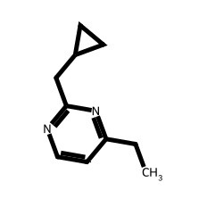 CCc1[c]cnc(CC2CC2)n1